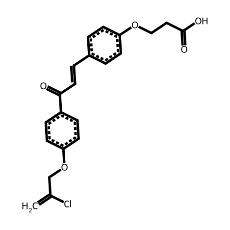 C=C(Cl)COc1ccc(C(=O)/C=C/c2ccc(OCCC(=O)O)cc2)cc1